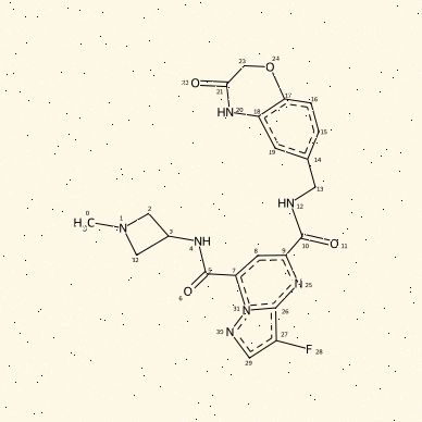 CN1CC(NC(=O)c2cc(C(=O)NCc3ccc4c(c3)NC(=O)CO4)nc3c(F)cnn23)C1